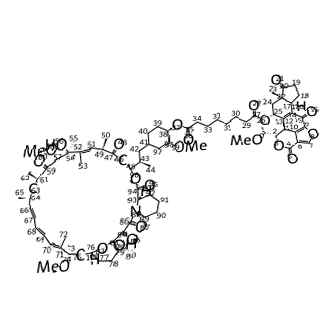 COC[C@H]1OC(=O)c2coc3c2[C@@]1(C)C1=C(C3=O)[C@@H]2CCC(=O)[C@@]2(C)C[C@H]1OC(=O)CCCCCCC(=O)O[C@@H]1CCC(C[C@@H](C)[C@@H]2CC(=O)[C@H](C)/C=C(\C)[C@](C)(O)[C@@H](OC)C(=O)[C@H](C)C[C@H](C)/C=C/C=C/C=C(\C)[C@@H](OC)C[C@@H]3CC[C@@H](C)[C@@](O)(O3)C(=O)C(=O)N3CCCC[C@H]3C(=O)O2)C[C@H]1OC